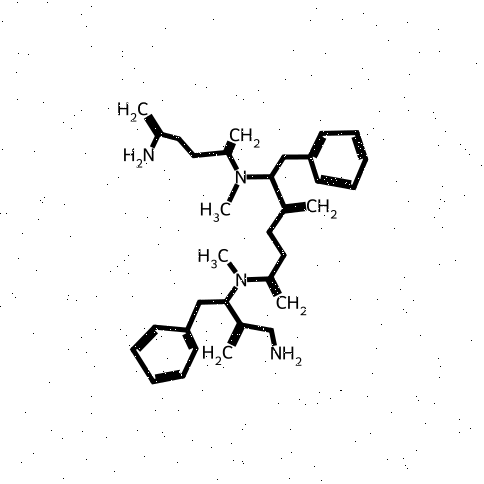 C=C(N)CCC(=C)N(C)C(Cc1ccccc1)C(=C)CCC(=C)N(C)C(Cc1ccccc1)C(=C)CN